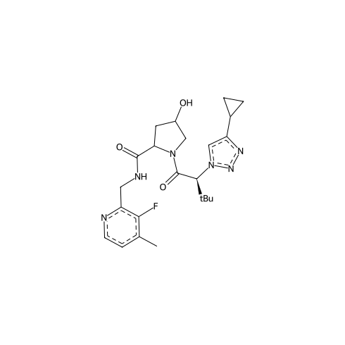 Cc1ccnc(CNC(=O)C2CC(O)CN2C(=O)[C@@H](n2cc(C3CC3)nn2)C(C)(C)C)c1F